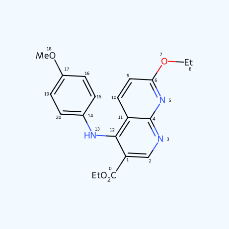 CCOC(=O)c1cnc2nc(OCC)ccc2c1Nc1ccc(OC)cc1